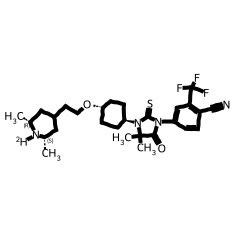 [2H]N1[C@H](C)CC(CCO[C@H]2CC[C@H](N3C(=S)N(c4ccc(C#N)c(C(F)(F)F)c4)C(=O)C3(C)C)CC2)C[C@@H]1C